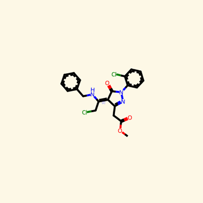 COC(=O)CC1=NN(c2ccccc2Cl)C(=O)/C1=C(/CCl)NCc1ccccc1